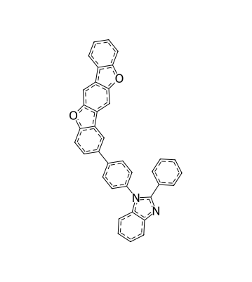 c1ccc(-c2nc3ccccc3n2-c2ccc(-c3ccc4oc5cc6c(cc5c4c3)oc3ccccc36)cc2)cc1